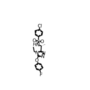 CCn1c(Oc2ccc(F)cc2)nnc1[C@@H](C)NS(=O)(=O)c1ccc(Cl)cc1